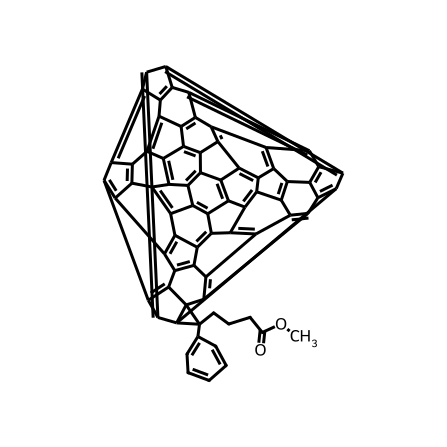 COC(=O)CCCC1(c2ccccc2)C23c4c5c6c7c8c9c(c%10c%11c2c2c%12c4c4c%13c5c5c7c7c8c8c%14c9c%10c9c%10c%11c2c2c%11c%12c4c4c%12c%13c5c5c7c7c8c8c%14c9c9c%10c2c2c%11c4c4c%12c5c7c5c8c9c2c45)C613